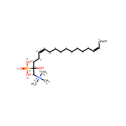 CCCCC/C=C\CCCCCCCC/C=C\CCC(O)(C[N+](C)(C)C)P(=O)(O)O